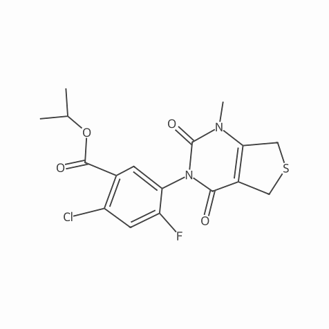 CC(C)OC(=O)c1cc(-n2c(=O)c3c(n(C)c2=O)CSC3)c(F)cc1Cl